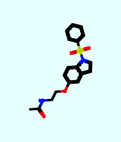 CC(=O)NCCOc1ccc2c(ccn2S(=O)(=O)c2ccccc2)c1